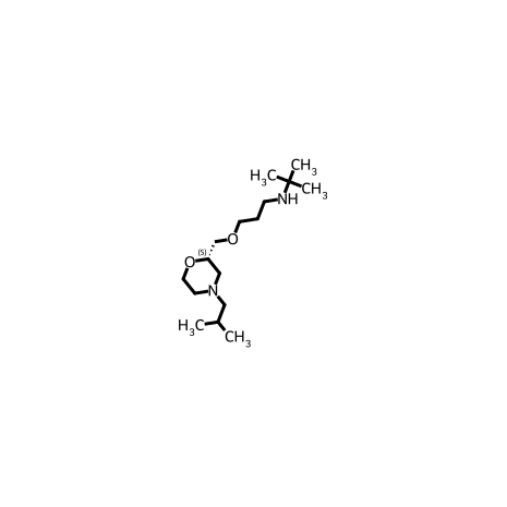 CC(C)CN1CCO[C@H](COCCCNC(C)(C)C)C1